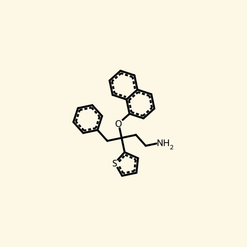 NCCC(Cc1ccccc1)(Oc1cccc2ccccc12)c1cccs1